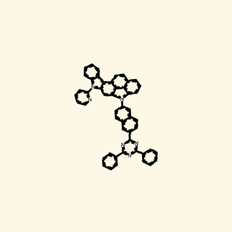 c1ccc(-c2nc(-c3ccccc3)nc(-c3ccc4cc(-n5c6cccc7ccc8c9c%10ccccc%10n(-c%10ccccn%10)c9cc5c8c76)ccc4c3)n2)cc1